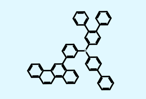 c1ccc(-c2ccc(N(c3cccc(-c4cc5c6ccccc6ccc5c5ccccc45)c3)c3ccc(-c4ccccc4)c(-c4ccccc4)c3)cc2)cc1